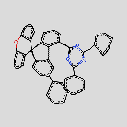 c1ccc(-c2ccc3c(c2)-c2c(-c4nc(-c5ccccc5)nc(-c5ccccc5)n4)cccc2C32c3ccccc3Oc3ccccc32)cc1